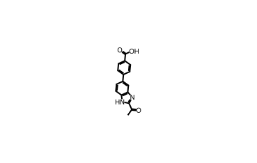 CC(=O)c1nc2cc(-c3ccc(C(=O)O)cc3)ccc2[nH]1